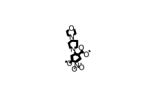 COC(=O)c1cc([N+](=O)[O-])c(OC)cc1N1CCC(N2CCOCC2)CC1